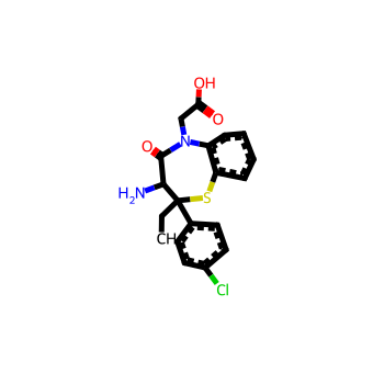 CCC1(c2ccc(Cl)cc2)Sc2ccccc2N(CC(=O)O)C(=O)C1N